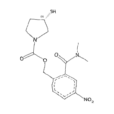 CN(C)C(=O)c1cc([N+](=O)[O-])ccc1COC(=O)N1CC[C@H](S)C1